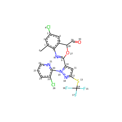 Cc1cc(Cl)cc2c1N=C(c1cc(SC(F)(F)F)nn1-c1ncccc1Cl)OC2C=O